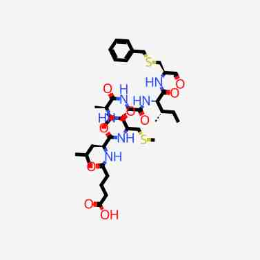 CC[C@H](C)[C@H](NC(=O)[C@H](CC(C)C)NC(=O)[C@H](C)NC(=O)C(CSC)NC(=O)[C@H](CC(C)C)NC(=O)CCCC(=O)O)C(=O)N[C@H](C=O)CSCc1ccccc1